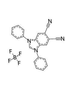 F[B-](F)(F)F.N#Cc1cc2c(cc1C#N)[n+](-c1ccccc1)cn2-c1ccccc1